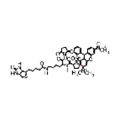 CN(C)c1ccc2c(-c3ccccc3S(=O)(=O)N3CCCC3C(=O)NC(CCCCNC(=O)CCCCC3SCC4NC(=O)NC43)C(=O)ON3C(=O)CCC3=O)c3ccc(=[N+](C)C)cc-3oc2c1